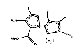 COC(=O)c1scc(C)c1N.Cc1sc(C(=O)O)c(N)c1C